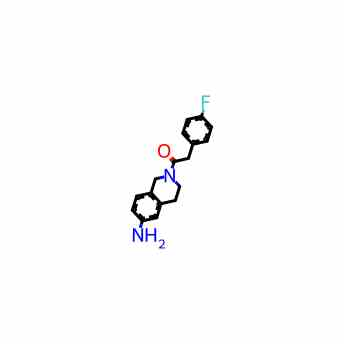 Nc1ccc2c(c1)CCN(C(=O)Cc1ccc(F)cc1)C2